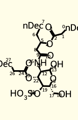 CCCCCCCCCCCC(=O)O[C@H](CCCCCCCCCCC)CC(=O)N[C@H]1C(O)O[C@H](CO)[C@@H](OS(=O)(=O)O)[C@@H]1OC(=O)CCCCCCCCCCC